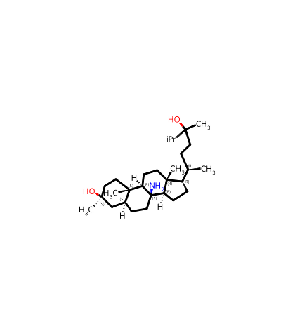 CC(C)C(C)(O)CC[C@@H](C)[C@H]1CC[C@@H]2[C@]1(C)CC[C@@H]1[C@@]3(C)CC[C@](C)(O)C[C@@H]3CC[C@]12N